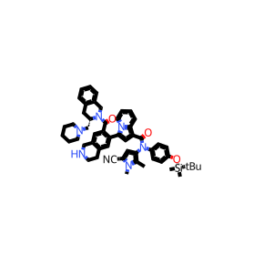 Cc1c(N(C(=O)c2cc(-c3cc4c(cc3C(=O)N3Cc5ccccc5C[C@H]3CN3CCCCC3)CNCC4)n3ccccc23)c2ccc(O[Si](C)(C)C(C)(C)C)cc2)cc(C#N)n1C